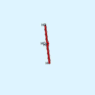 C=CC(=O)O.OCCOCCOCCOCCOCCOCCOCCOCCOCCOCCOCCOCCOCCOCCOCCOCCO